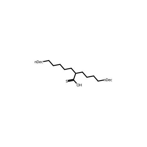 CCCCCCCCCCCCCCCC(CCCCCCCCCCCCCC)C(O)=S